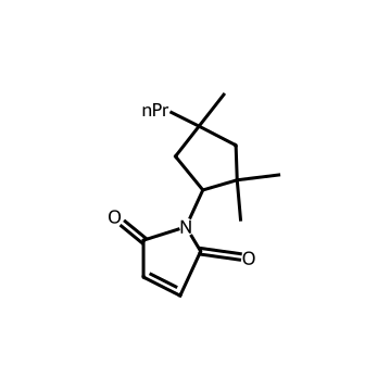 CCCC1(C)CC(N2C(=O)C=CC2=O)C(C)(C)C1